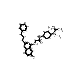 CC(C)N(C)C1CCC(NC(=O)CNc2nc(CCCc3ccccc3)nc3ccc(Cl)cc23)CC1